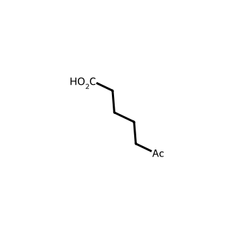 [CH2]C(=O)CCCCC(=O)O